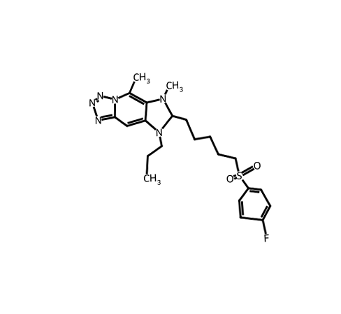 CCCN1c2cc3nnnn3c(C)c2N(C)C1CCCCCS(=O)(=O)c1ccc(F)cc1